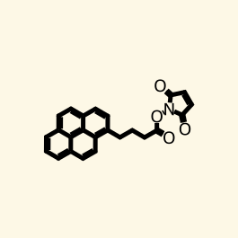 O=C(CCCc1ccc2ccc3cccc4ccc1c2c34)ON1C(=O)C=CC1=O